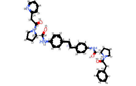 O=C(Nc1ccc(/C=C/c2ccc(NC(=O)[C@@H]3CCCN3C(=O)Cc3ccccn3)cc2)cc1)[C@@H]1CCCN1C(=O)Cc1ccccc1